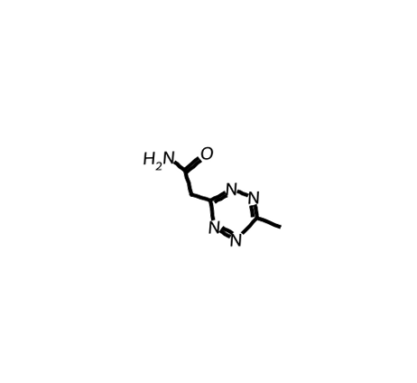 Cc1nnc(CC(N)=O)nn1